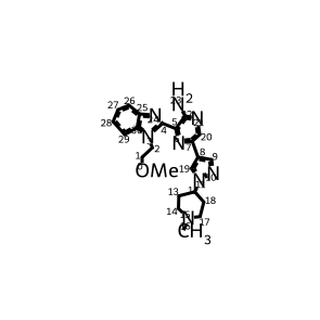 COCCn1c(-c2nc(-c3cnn(C4CCN(C)CC4)c3)cnc2N)nc2ccccc21